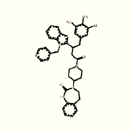 Nc1c(Cl)cc(CC(CC(=O)N2CCC(N3CCc4ccccc4NC3=O)CC2)c2nc3ccccc3n2Cc2ccncc2)cc1C(F)(F)F